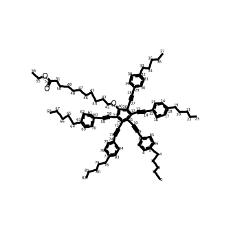 CCCCCc1ccc(C#Cc2c(C#Cc3ccc(CCCCC)cc3)c(C#Cc3ccc(CCCCC)cc3)c(OCCCCCCCCCCC(=O)OCC)c(C#Cc3ccc(CCCCC)cc3)c2C#Cc2ccc(CCCCC)cc2)cc1